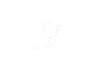 CC(C)Nc1cccnc1Cl